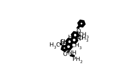 C=C(C)[C@@H]1CC[C@]2(C(=O)NCCP)CC[C@]3(C)[C@H](CC[C@@H]4[C@@]5(C)CC[C@H](OCc6ccccc6)C(C)(C)[C@@H]5CC[C@]43C)[C@@H]12